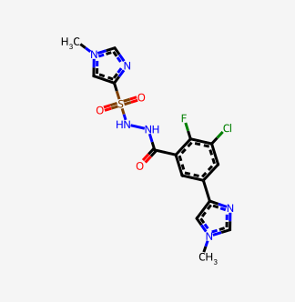 Cn1cnc(-c2cc(Cl)c(F)c(C(=O)NNS(=O)(=O)c3cn(C)cn3)c2)c1